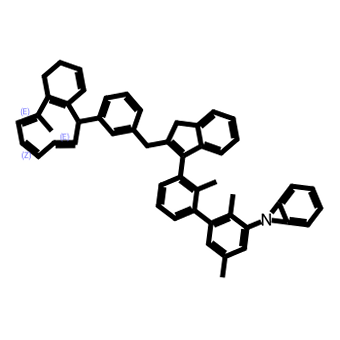 C\C1=C/C=C\C=C\C(c2cccc(CC3=C(c4cccc(-c5cc(C)cc(N6c7ccccc76)c5C)c4C)c4ccccc4C3)c2)C2=C1CCC=C2